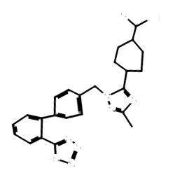 CC(C)c1nc(C2CCC(C(C)N)CC2)n(Cc2ccc(-c3ccccc3-c3nnn[nH]3)cc2)n1